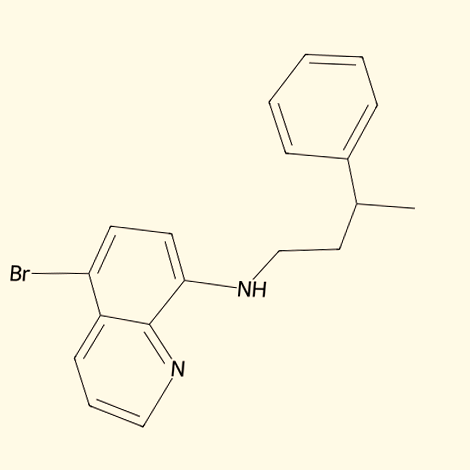 CC(CCNc1ccc(Br)c2cccnc12)c1ccccc1